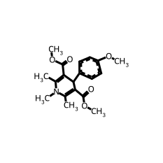 COC(=O)C1=C(C)N(C)C(C)=C(C(=O)OC)C1c1ccc(OC)cc1